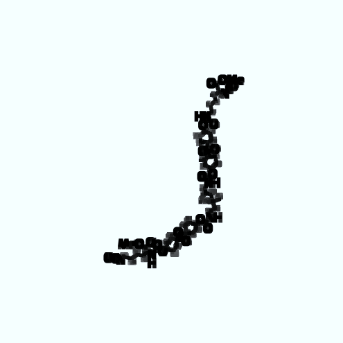 COC(=O)C(CCCCNC(=O)Oc1ccc(S(=O)(=O)c2ccc(OC(=O)NCC(C)CC(C)(C)CCNC(=O)Oc3ccc(S(=O)(=O)c4ccc(OC(=O)NC(CCCCN=C=O)C(=O)OC)cc4)cc3)cc2)cc1)N=C=O